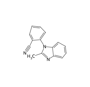 Cc1nc2ccccc2n1-c1ccccc1C#N